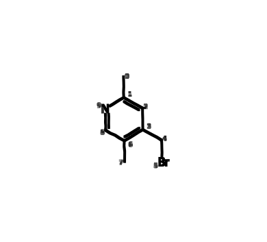 Cc1cc(CBr)c(C)cn1